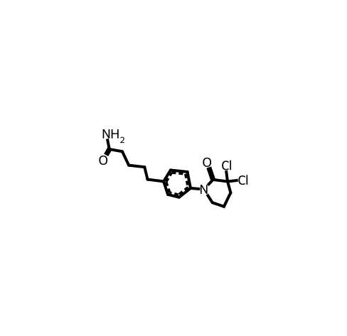 NC(=O)CCCCc1ccc(N2CCCC(Cl)(Cl)C2=O)cc1